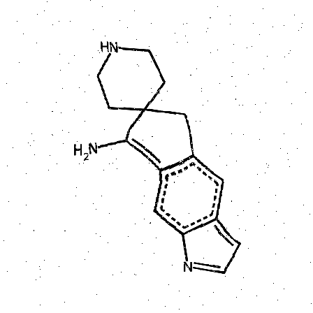 NC1=c2cc3c(cc2CC12CCNCC2)=CC=N3